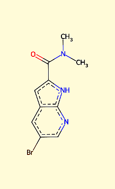 CN(C)C(=O)c1cc2cc(Br)cnc2[nH]1